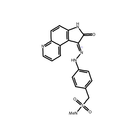 CNS(=O)(=O)Cc1ccc(N/N=C2/C(=O)Nc3ccc4ncccc4c32)cc1